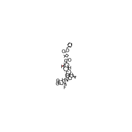 CC1(C2CC[C@]3(NC[C@H](CF)N4CCS(=O)(=O)CC4)CC[C@]4(C)[C@H](CC[C@@H]5[C@@]6(C)CC[C@H](OC(=O)[C@H]7C[C@@H](C(=O)OCc8ccccc8)C7(C)C)C(C)(C)[C@@H]6CC[C@]54C)[C@@H]23)CC1